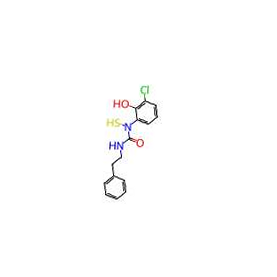 O=C(NCCc1ccccc1)N(S)c1cccc(Cl)c1O